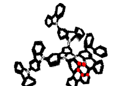 c1ccc(-c2ccccc2-c2cc3c(c(-c4ccccc4-c4ccccc4)c2)Oc2cc(-c4ccccc4-c4ccccc4)cc4c2B3c2cc(-n3c5ccccc5c5cc(-n6c7ccccc7c7ccccc76)ccc53)cc3c5cc(-n6c7ccccc7c7cc(-n8c9ccccc9c9ccccc98)ccc76)ccc5n-4c23)cc1